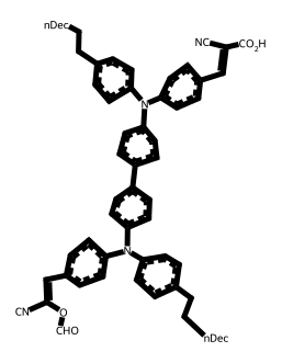 [C-]#[N+]/C(=C/c1ccc(N(c2ccc(CCCCCCCCCCCC)cc2)c2ccc(-c3ccc(N(c4ccc(/C=C(\C#N)C(=O)O)cc4)c4ccc(CCCCCCCCCCCC)cc4)cc3)cc2)cc1)OC=O